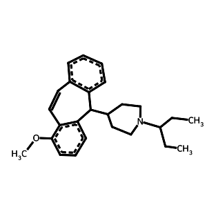 CCC(CC)N1CCC(C2c3ccccc3C=Cc3c(OC)cccc32)CC1